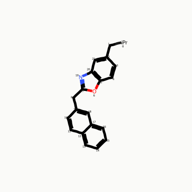 CC(C)Cc1ccc2oc(Cc3ccc4ccccc4c3)nc2c1